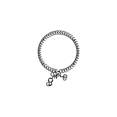 O=C(N=C1SC2(CCCCCCCCCCCCCCCCCCCCCCCCCCCCCCCCCCCCCCCCCCCCCCCCCCC2)CN1CC1CCCO1)c1ccc2occc2c1